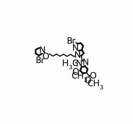 COC(=O)c1cc(OC)c2c(c1)nc(-c1cc3ccc(Br)nc3n1CCCCCCCCOc1ncccc1Br)n2C